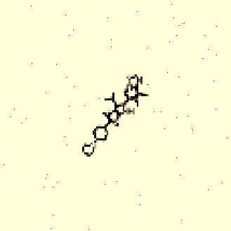 Cc1c(-c2[nH]c3sc(C4CCC(N5CCCC5)CC4)c(C)c3c2C(C)C)cn2ncnc2c1C